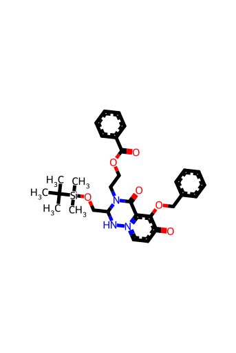 CC(C)(C)[Si](C)(C)OCC1Nn2ccc(=O)c(OCc3ccccc3)c2C(=O)N1CCOC(=O)c1ccccc1